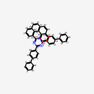 c1ccc(-c2ccc(-c3nc(-c4ccc(-c5ccccc5)cc4)nc(-c4cccc5ccc6ccc7ccccc7c6c45)n3)cc2)cc1